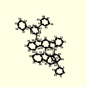 c1ccc(-c2ccc(-n3c4ccccc4c4cc5c(c(-n6c7ccccc7c7ccccc76)c43)c3ccccc3n5-c3nc(-c4ccccc4)nc(-c4ccccc4)n3)cc2)cc1